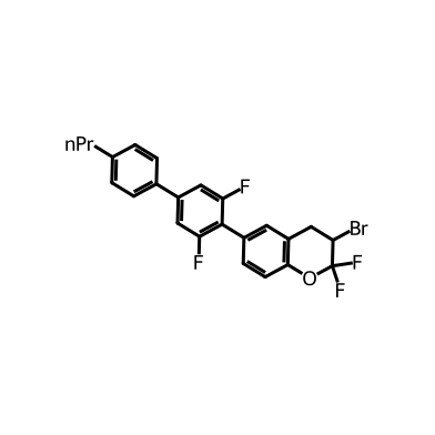 CCCc1ccc(-c2cc(F)c(-c3ccc4c(c3)CC(Br)C(F)(F)O4)c(F)c2)cc1